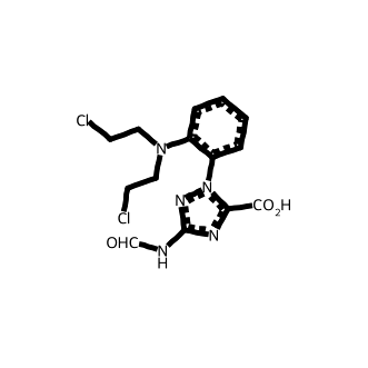 O=CNc1nc(C(=O)O)n(-c2ccccc2N(CCCl)CCCl)n1